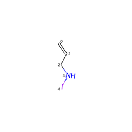 C=CCNI